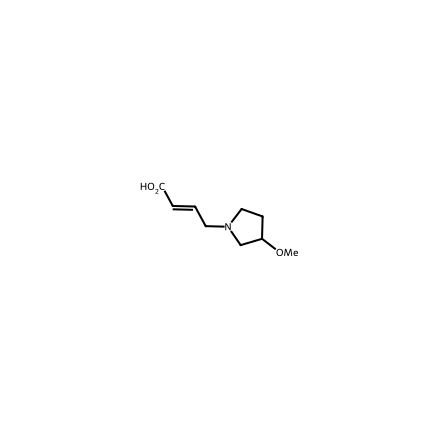 COC1CCN(C/C=C/C(=O)O)C1